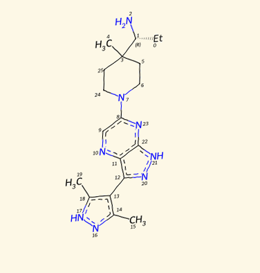 CC[C@@H](N)C1(C)CCN(c2cnc3c(-c4c(C)n[nH]c4C)n[nH]c3n2)CC1